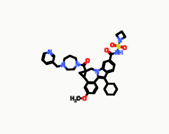 COc1ccc2c(c1)C1CC1(C(=O)N1CCCN(Cc3cccnc3)CC1)Cn1c-2c(C2CCCCC2)c2ccc(C(=O)NS(=O)(=O)N3CCC3)cc21